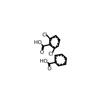 O=C(O)c1c(Cl)cccc1Cl.O=C(O)c1ccccc1